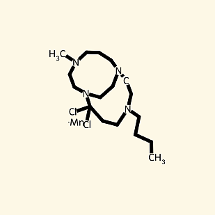 CCCCN1CCN2CCCN(C)CCN(CC2)C(Cl)(Cl)CC1.[Mn]